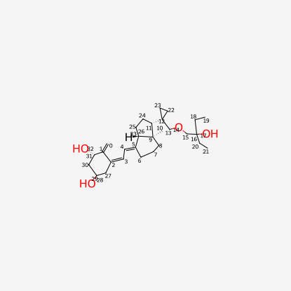 C=C1/C(=C\C=C2/CCC[C@]3(C)[C@@H](C4(COCC(O)(CC)CC)CC4)CC[C@@H]23)C[C@@H](O)C[C@@H]1O